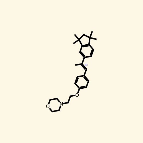 C/C(=C\c1ccc(OCCN2CCOCC2)cc1)c1ccc2c(c1)C(C)(C)CC2(C)C